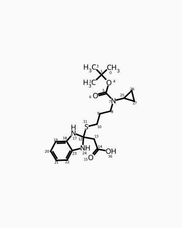 CC(C)(C)OC(=O)N(CCCSC1(CC(=O)O)Nc2ccccc2N1)C1CC1